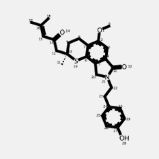 COc1cc2c(c3c1CC[C@](C)(CC(=O)C=C(C)C)S3)CN(CCc1ccc(O)cc1)C2=O